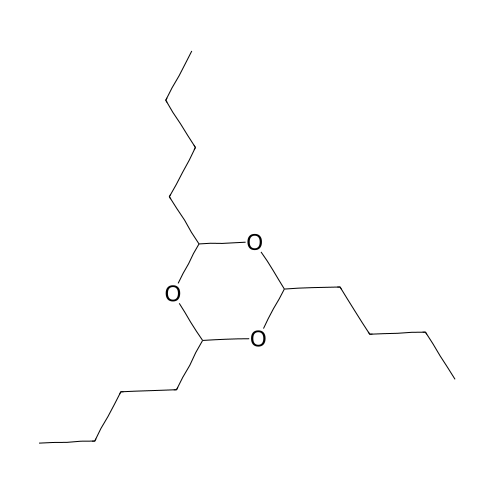 CCCCC1OC(CCCC)OC(CCCC)O1